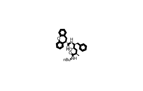 CCCCNC(=O)[C@H](C)C[C@H](O)[C@H](Cc1ccccc1)NC(=O)[C@H]1Cc2ccccc2Oc2ccccc21